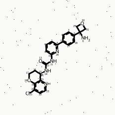 NC1(c2ccc(-c3cccc(NC(=O)N[C@@H]4CCOc5c(Cl)ccnc54)n3)cc2)COC1